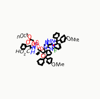 C#C[C@]1(COP(=O)(NC(Cc2ccccc2)C(=O)O)OCC(=O)OCCCCCCCC)O[C@@H](n2cnc3c(NC(c4ccccc4)(c4ccccc4)c4ccc(OC)cc4)nc(F)nc32)C[C@@H]1OC(c1ccccc1)(c1ccccc1)c1ccc(OC)cc1